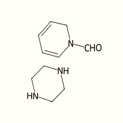 C1CNCCN1.O=CN1C=CC=CC1